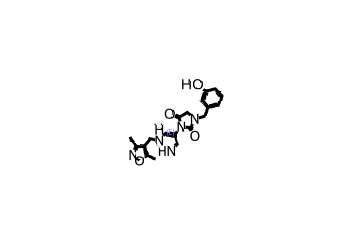 Cc1noc(C)c1CN/C=C(\C=N)N1C(=O)CN(Cc2cccc(O)c2)C1=O